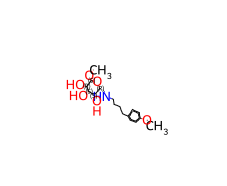 COc1ccc(CCCCNC[C@H]2O[C@H](OC)[C@H](O)[C@@H](O)[C@@H]2O)cc1